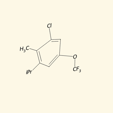 Cc1c(Cl)cc(OC(F)(F)F)cc1C(C)C